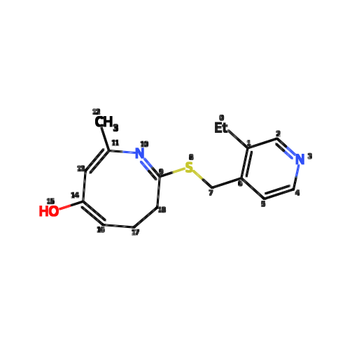 CCc1cnccc1CS/C1=N/C(C)=C\C(O)=C/CC1